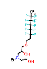 CCN(CCO)CC(O)COCCC(F)(F)C(F)(F)C(F)(F)C(F)(F)C(F)(F)C(F)(F)F